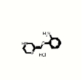 Cl.Nc1ccccc1OC=C1CNCCO1